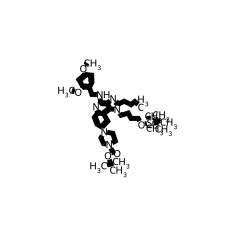 CCCCc1nc2c(NCc3ccc(OC)cc3OC)nc3ccc(N4CCN(C(=O)OC(C)(C)C)CC4)cc3c2n1CCCCO[Si](C)(C)C(C)(C)C